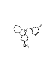 Nc1ccc2c(c1)c1c(n2Cc2cccc(F)c2)CCCC1